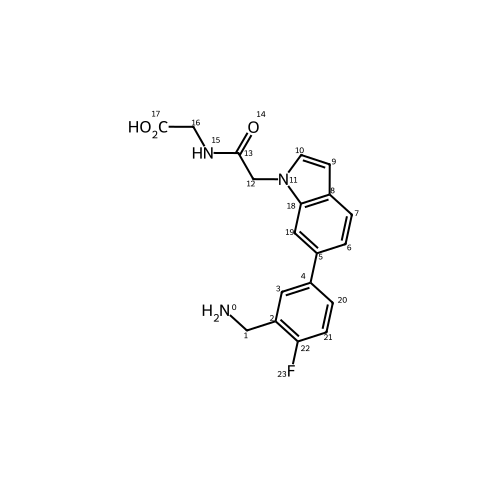 NCc1cc(-c2ccc3ccn(CC(=O)NCC(=O)O)c3c2)ccc1F